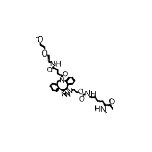 CNC(CCCCNC(=O)OCCn1nnc2c1-c1ccccc1N(C(=O)CCC(=O)NCCOCCOC)Cc1ccccc1-2)C(C)=O